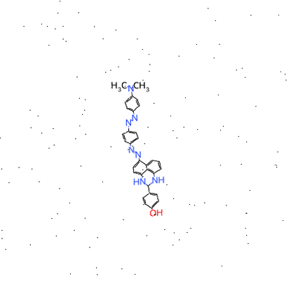 CN(C)c1ccc(N=Nc2ccc(N=Nc3ccc4c5c(cccc35)NC(c3ccc(O)cc3)N4)cc2)cc1